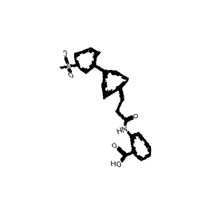 CS(=O)(=O)c1cccc(-c2ccc(CCC(=O)Nc3ccccc3C(=O)O)cc2)c1